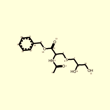 CC(=O)NC(CSCC(O)CO)C(=O)OCc1ccccc1